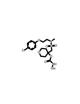 CN(CCOc1ccc(Cl)cc1)S(=O)(=O)CC1(OC(=O)NO)CCOCC1